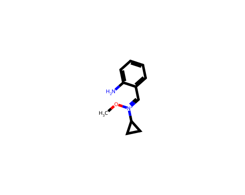 CO[N+](=Cc1ccccc1N)C1CC1